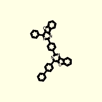 c1ccc(-c2ccc(-c3nc(-c4ccc(-c5nc(-c6ccccc6)c6oc7ccccc7c6n5)cc4)nc4c3oc3ccccc34)cc2)cc1